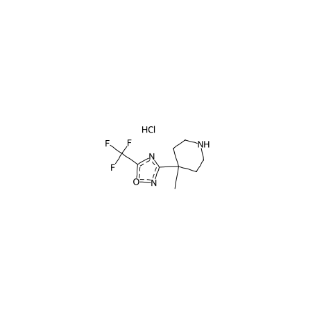 CC1(c2noc(C(F)(F)F)n2)CCNCC1.Cl